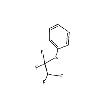 FC(F)C(F)(F)Sc1cc[c]cc1